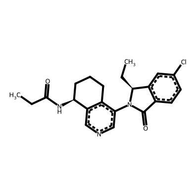 CCC(=O)N[C@H]1CCCc2c1cncc2N1C(=O)c2ccc(Cl)cc2[C@@H]1CC